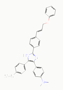 CNc1ccc(-c2[nH]c(-c3ccc(/C=C/COc4ccccc4)cc3)nc2-c2ccc(N(C)C)cc2)cc1